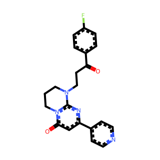 O=C(CCN1CCCn2c1nc(-c1ccncc1)cc2=O)c1ccc(F)cc1